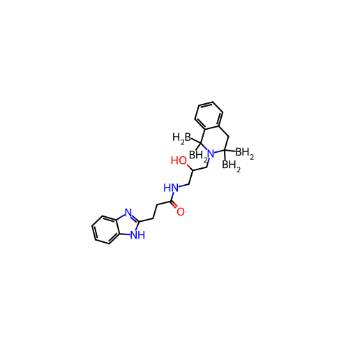 BC1(B)Cc2ccccc2C(B)(B)N1CC(O)CNC(=O)CCc1nc2ccccc2[nH]1